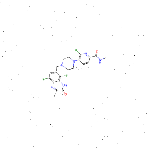 CNC(=O)c1ccc(N2CCN(Cc3cc(F)c4nc(C)c(=O)[nH]c4c3F)CC2)c(F)n1